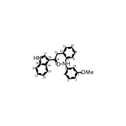 COc1cccc(Nc2ccccc2CC(=O)c2c[nH]c3ccccc23)c1